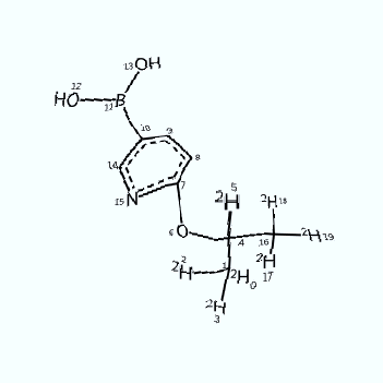 [2H]C([2H])([2H])C([2H])(Oc1ccc(B(O)O)cn1)C([2H])([2H])[2H]